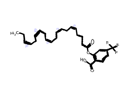 CC/C=C\C/C=C\C/C=C\C/C=C\C/C=C\CCCC(=O)Oc1cc(C(F)(F)F)ccc1C(=O)O